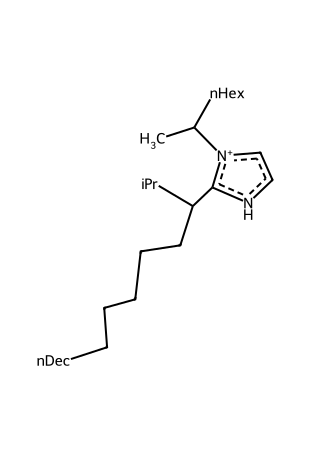 CCCCCCCCCCCCCCCC(c1[nH]cc[n+]1C(C)CCCCCC)C(C)C